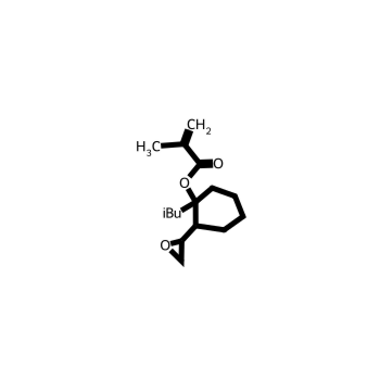 C=C(C)C(=O)OC1(C(C)CC)CCCCC1C1CO1